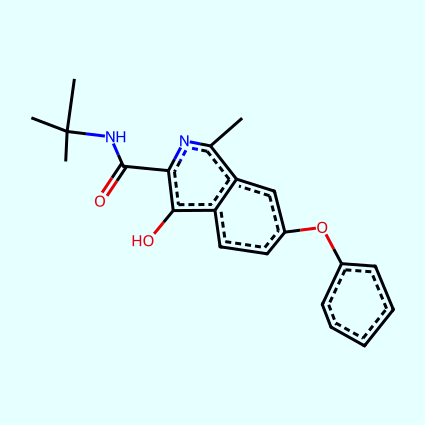 Cc1nc(C(=O)NC(C)(C)C)c(O)c2ccc(Oc3ccccc3)cc12